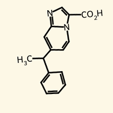 CC(c1ccccc1)c1ccn2c(C(=O)O)cnc2c1